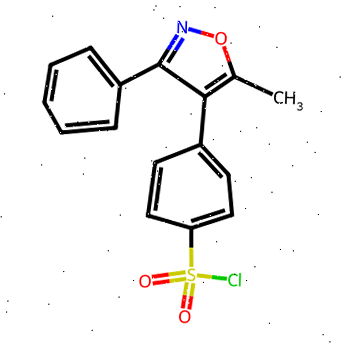 Cc1onc(-c2ccccc2)c1-c1ccc(S(=O)(=O)Cl)cc1